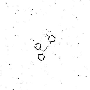 NCc1cccc(OCCC(c2ccccc2)c2ccccc2)c1